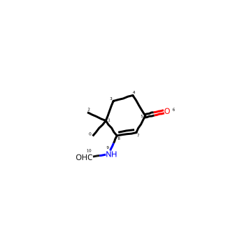 CC1(C)CCC(=O)C=C1NC=O